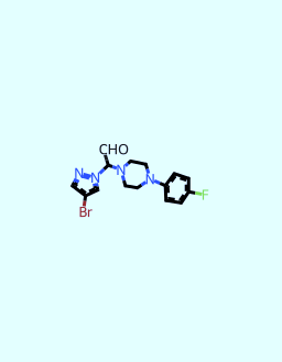 O=CC(N1CCN(c2ccc(F)cc2)CC1)n1cc(Br)cn1